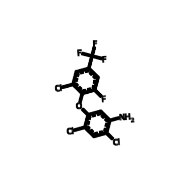 Nc1cc(Oc2c(F)cc(C(F)(F)F)cc2Cl)c(Cl)cc1Cl